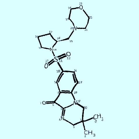 CC1(C)CN=C2C(=O)c3cc(S(=O)(=O)N4CCC[C@H]4CN4CCOCC4)ccc3N2C1